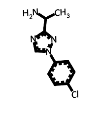 CC(N)c1ncn(-c2ccc(Cl)cc2)n1